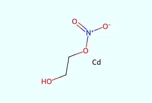 O=[N+]([O-])OCCO.[Cd]